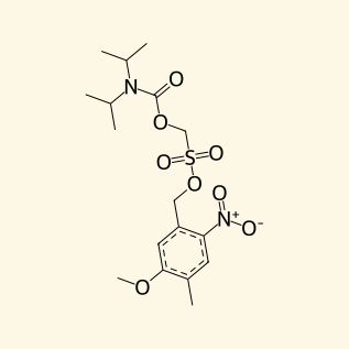 COc1cc(COS(=O)(=O)COC(=O)N(C(C)C)C(C)C)c([N+](=O)[O-])cc1C